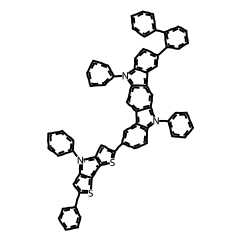 c1ccc(-c2cc3c(s2)c2sc(-c4ccc5c(c4)c4cc6c(cc4n5-c4ccccc4)c4cc(-c5ccccc5-c5ccccc5)ccc4n6-c4ccccc4)cc2n3-c2ccccc2)cc1